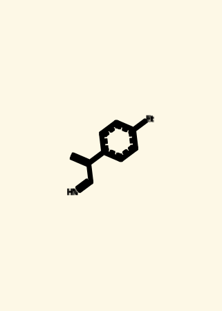 C=C(C=N)c1ccc(CC)cc1